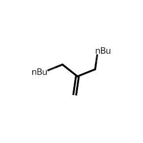 C=C(CCCCC)CCCCC